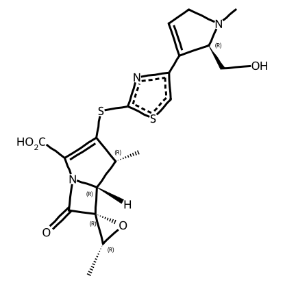 C[C@H]1C(Sc2nc(C3=CCN(C)[C@H]3CO)cs2)=C(C(=O)O)N2C(=O)[C@@]3(O[C@@H]3C)[C@@H]12